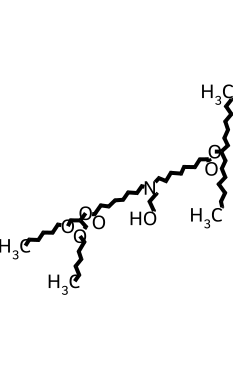 CCCCCCCCC(CCCCCCCC)OC(=O)CCCCCCCN(CCCO)CCCCCCCC(=O)OC(COCCCCCC)COCCCCCC